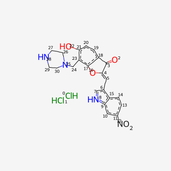 Cl.Cl.O=C1C(=Cc2c[nH]c3cc([N+](=O)[O-])ccc23)Oc2c1ccc(O)c2CN1CCNCC1